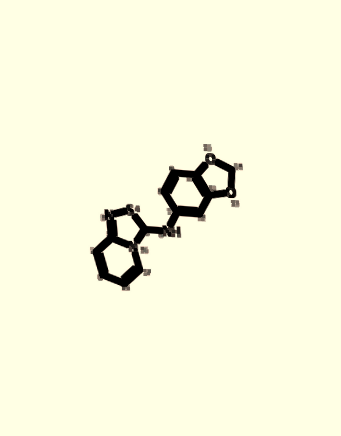 C1=CC2=NSC(Nc3ccc4c(c3)OCO4)N2C=C1